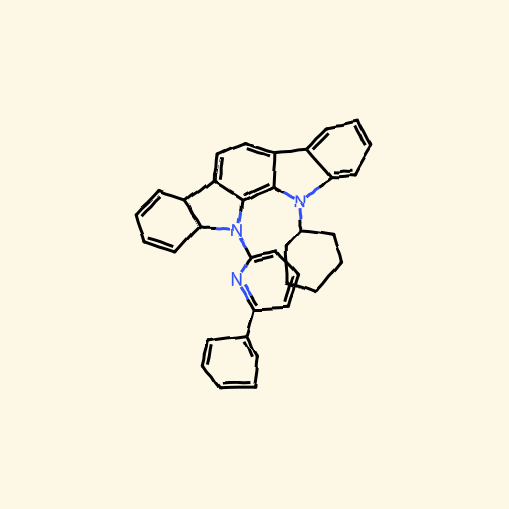 C1=CC2c3ccc4c5ccccc5n(C5CCCCC5)c4c3N(c3cccc(-c4ccccc4)n3)C2C=C1